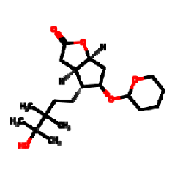 CC(C)(CC[C@@H]1[C@H]2CC(=O)O[C@H]2C[C@H]1OC1CCCCO1)[Si](C)(C)O